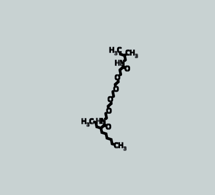 CCCCCCC(CCC)C(=O)NCCOCCOCCOCCOCCC(=O)NCC(C)CC